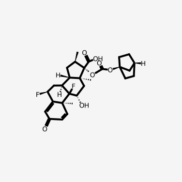 C[C@@H]1C[C@H]2[C@@H]3C[C@H](F)C4=CC(=O)C=C[C@]4(C)C3(F)[C@@H](O)C[C@]2(C)[C@]1(OC(=O)O[C@]12CC[C@H](CC1)C2)C(=O)O